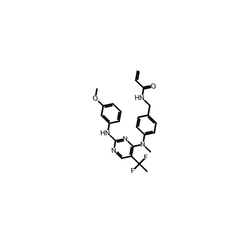 C=CC(=O)NCc1ccc(N(C)c2nc(Nc3cccc(OC)c3)ncc2C(C)(F)F)cc1